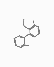 Cc1ccccc1-c1cccc(C)c1CC(C)C